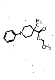 CCOC(=O)C1(C)CCN(c2ccccc2)CC1